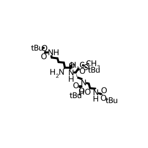 CC(C)(C)OC(=O)NCCCC[C@H](N)C(=O)N[C@@H](CCN(C[C@@H](O)CNC(=O)OC(C)(C)C)C(=O)OC(C)(C)C)CO[Si](C)(C)C(C)(C)C